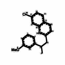 COc1cccc(C(C)Cc2ccc3ccc(Cl)cc3n2)c1